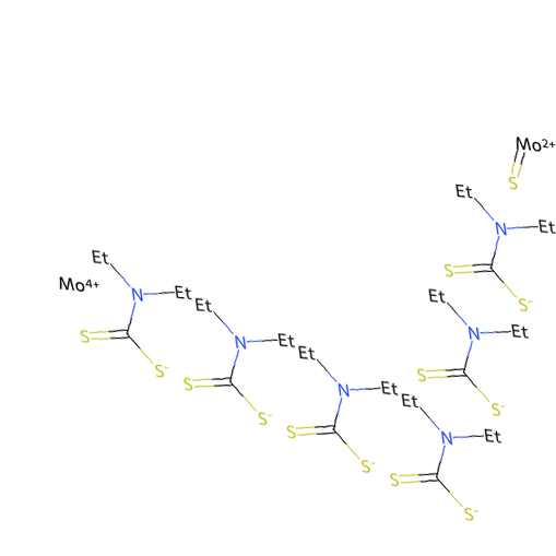 CCN(CC)C(=S)[S-].CCN(CC)C(=S)[S-].CCN(CC)C(=S)[S-].CCN(CC)C(=S)[S-].CCN(CC)C(=S)[S-].CCN(CC)C(=S)[S-].[Mo+4].[S]=[Mo+2]